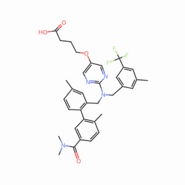 Cc1cc(CN(Cc2cc(C)ccc2-c2cc(C(=O)N(C)C)ccc2C)c2ncc(OCCCC(=O)O)cn2)cc(C(F)(F)F)c1